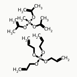 C=C(C)O[Si](C)(OC(=C)C)OC(=C)C.C=CCO[Si](OCC=C)(OCC=C)OCC=C